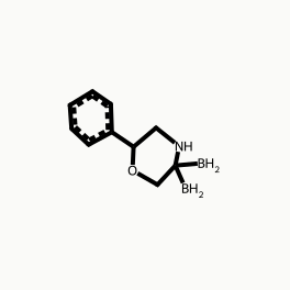 BC1(B)COC(c2ccccc2)CN1